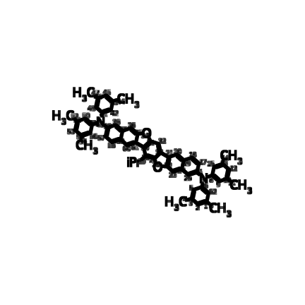 Cc1cc(C)cc(N(c2cc(C)cc(C)c2)c2ccc3cc4c(cc3c2)oc2c(C(C)C)c3c(cc24)oc2cc4cc(N(c5cc(C)cc(C)c5)c5cc(C)cc(C)c5)ccc4cc23)c1